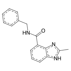 Cc1nc2c(C(=O)NCc3ccccc3)cccc2[nH]1